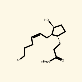 CCCCCCCC(=O)CC[C@H]1CC[C@H](O)[C@@H]1C/C=C\CCCC(C)=O